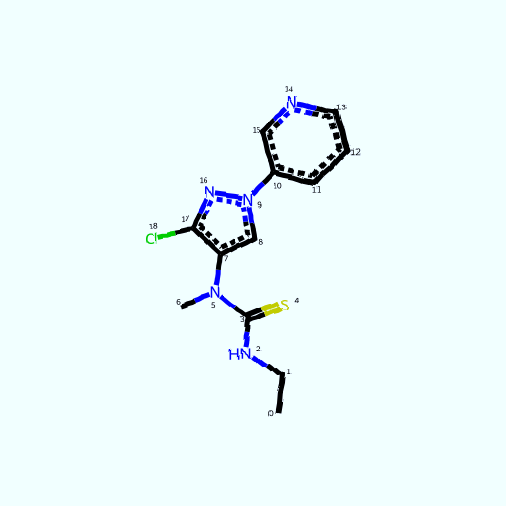 CCNC(=S)N(C)c1cn(-c2cccnc2)nc1Cl